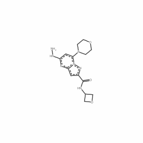 NNc1cc(N2CCOCC2)n2nc(C(=O)NC3COC3)cc2n1